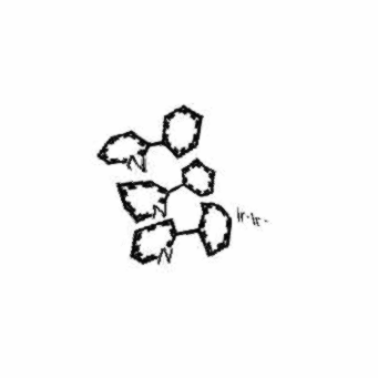 [Ir].[Ir].c1ccc(-c2ccccn2)cc1.c1ccc(-c2ccccn2)cc1.c1ccc(-c2ccccn2)cc1